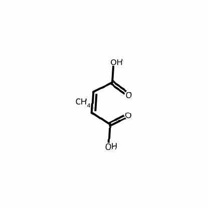 C.O=C(O)/C=C\C(=O)O